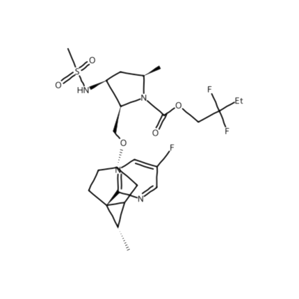 CCC(F)(F)COC(=O)N1[C@H](C)C[C@H](NS(C)(=O)=O)[C@@H]1CO[C@H]1CC[C@]2(c3ncc(F)cn3)C(C1)[C@@H]2C